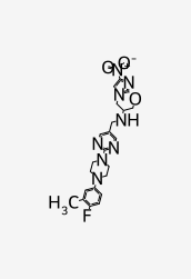 Cc1cc(N2CCN(c3ncc(CNC4COc5nc([N+](=O)[O-])cn5C4)cn3)CC2)ccc1F